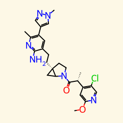 COc1cc([C@@H](C)C(=O)N2CC[C@]3(CCc4cc(-c5cnn(C)c5)c(C)nc4N)CC23)c(Cl)cn1